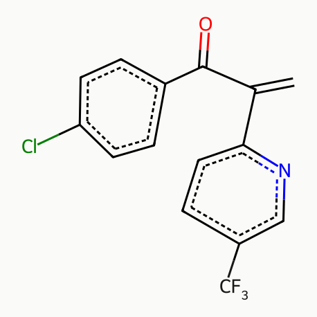 C=C(C(=O)c1ccc(Cl)cc1)c1ccc(C(F)(F)F)cn1